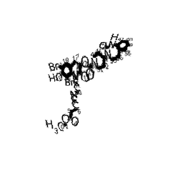 CCOC(=O)CC=C=C=NC=C=C=NC(=O)[C@@H](Cc1cc(Br)c(O)c(Br)c1)OC(=O)N1CCC(N2CCc3ccccc3NC2=O)CC1